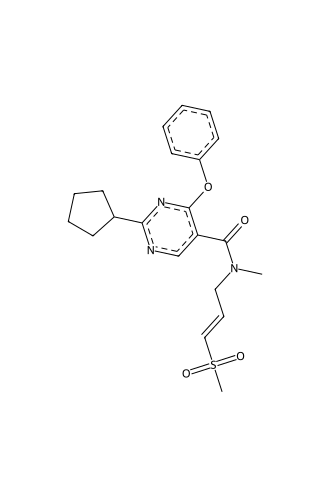 CN(CC=CS(C)(=O)=O)C(=O)c1cnc(C2CCCC2)nc1Oc1ccccc1